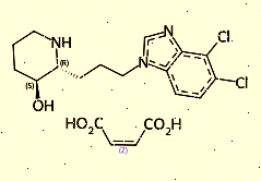 O=C(O)/C=C\C(=O)O.O[C@H]1CCCN[C@@H]1CCCn1cnc2c(Cl)c(Cl)ccc21